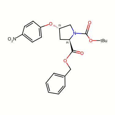 CC(C)(C)OC(=O)N1C[C@@H](Oc2ccc([N+](=O)[O-])cc2)C[C@@H]1C(=O)OCc1ccccc1